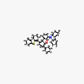 Cc1ccc2c(c1)c1cc(C)ccc1n2-c1cccc2c1oc1c(-c3ccccc3)ccc(-c3cccc4c3sc3ccccc34)c12